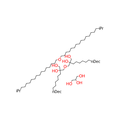 CC(C)CCCCCCCCCCCCCCCOCCCCCCCCCCCCCCCC(C)C.CCCCCCCCCCCCCCCCC(O)(CO)COCC(O)(CO)CCCCCCCCCCCCCCCC.OCC(O)CO